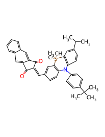 CC(C)c1ccc2c(c1)S(C)(C)c1cc(C=C3C(=O)c4cc5ccccc5cc4C3=O)ccc1N2c1ccc(C(C)(C)C)cc1